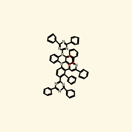 c1ccc(-c2cc(-c3c(N4c5ccccc5N(c5nc(-c6ccccc6)nc(-c6ccccc6)n5)c5ccccc54)ccc(-c4nc(-c5ccccc5)nc(-c5ccccc5)n4)c3-c3ccccc3)nc(-c3ccccc3)n2)cc1